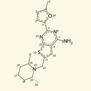 Cc1ccc(-c2nc(N)c3cc(CN4C(C)CCC[C@H]4C)sc3n2)o1